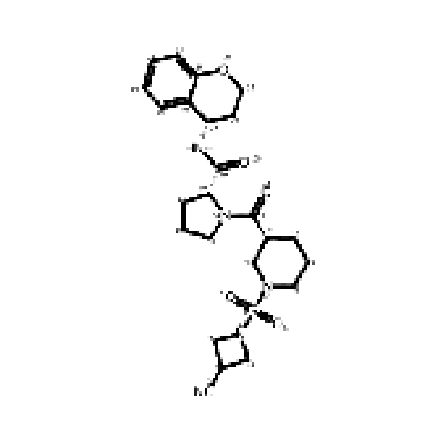 N#CC1CN(S(=O)(=O)N2CCC[C@H](C(=O)N3CCC[C@@H]3C(=O)N[C@H]3CCOc4ccccc43)C2)C1